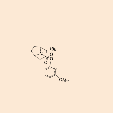 COc1cccc(OC2CC3CCC(C2)N3C(=O)OC(C)(C)C)n1